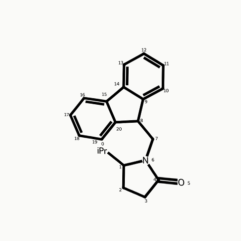 CC(C)C1CCC(=O)N1CC1c2ccccc2-c2ccccc21